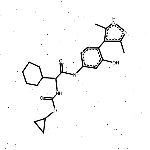 Cc1n[nH]c(C)c1-c1ccc(NC(=O)C(NC(=O)OC2CC2)C2CCCCC2)cc1O